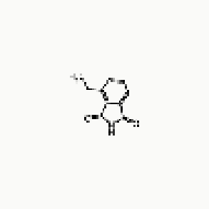 CCc1cccc2c1C(=O)NC2=O